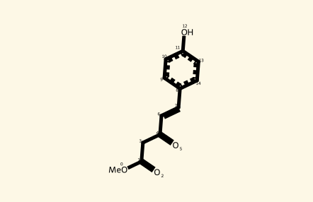 COC(=O)CC(=O)C=Cc1ccc(O)cc1